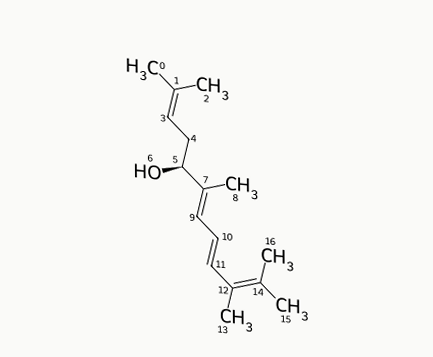 CC(C)=CC[C@H](O)/C(C)=C/C=C/C(C)=C(C)C